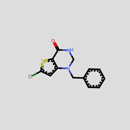 O=C1NCN(Cc2ccccc2)c2cc(Cl)sc21